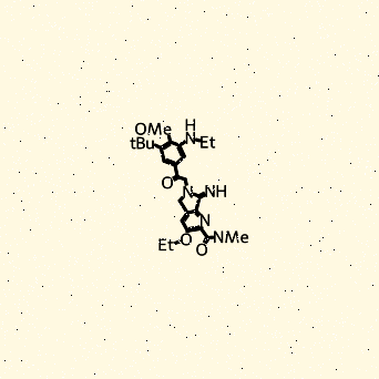 CCNc1cc(C(=O)CN2Cc3cc(OCC)c(C(=O)NC)nc3C2=N)cc(C(C)(C)C)c1OC